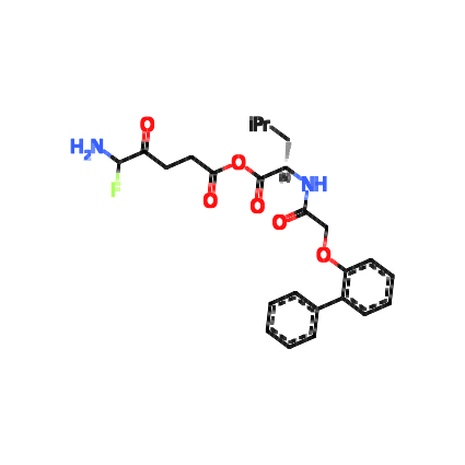 CC(C)C[C@H](NC(=O)COc1ccccc1-c1ccccc1)C(=O)OC(=O)CCC(=O)C(N)F